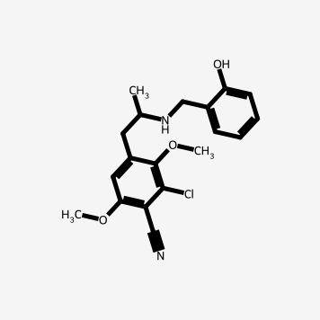 COc1cc(CC(C)NCc2ccccc2O)c(OC)c(Cl)c1C#N